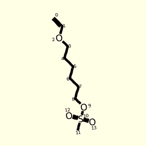 C=COCCCCCCOS(C)(=O)=O